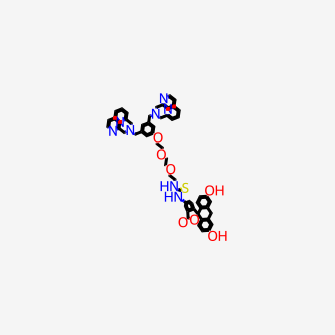 O=C1OC2(c3ccc(O)cc3Cc3cc(O)ccc32)c2ccc(NC(=S)NCCOCCOCCOc3cc(CN(Cc4ccccn4)Cc4ccccn4)cc(CN(Cc4ccccn4)Cc4ccccn4)c3)cc21